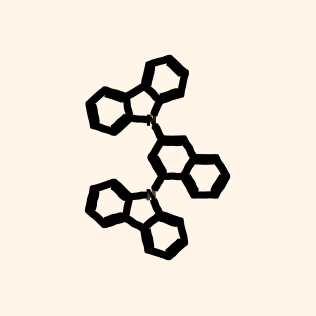 c1ccc2c(-n3c4ccccc4c4ccccc43)cc(-n3c4ccccc4c4ccccc43)cc2c1